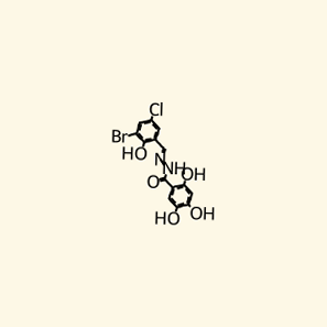 O=C(N/N=C/c1cc(Cl)cc(Br)c1O)c1cc(O)c(O)cc1O